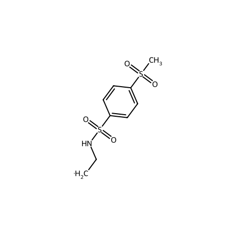 [CH2]CNS(=O)(=O)c1ccc(S(C)(=O)=O)cc1